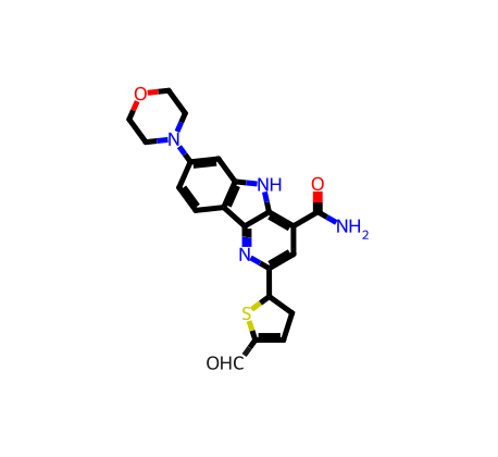 NC(=O)c1cc(C2CC=C(C=O)S2)nc2c1[nH]c1cc(N3CCOCC3)ccc12